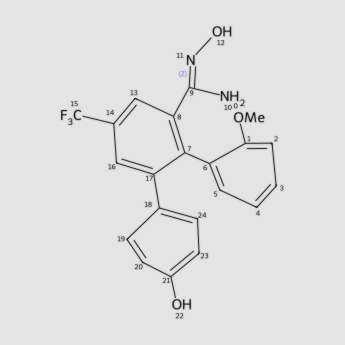 COc1ccccc1-c1c(/C(N)=N/O)cc(C(F)(F)F)cc1-c1ccc(O)cc1